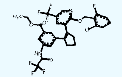 CCOC(=O)c1cc(NC(=O)C(F)(F)F)cc(C2=C(c3cc(C(F)(F)F)cnc3OCc3c(F)cccc3Cl)CCC2)c1